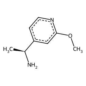 COc1cc([C@H](C)N)ccn1